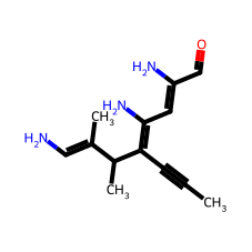 CC#C/C(=C(N)\C=C(/N)C=O)C(C)/C(C)=C/N